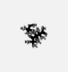 CC(C)(C)C(=O)C(O)(O)C(C)(C)C(=O)O.CC(C)(C)CO